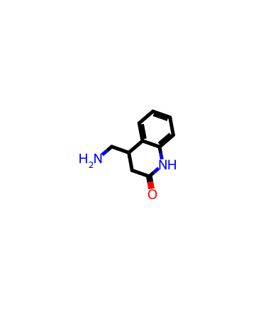 NCC1CC(=O)Nc2ccccc21